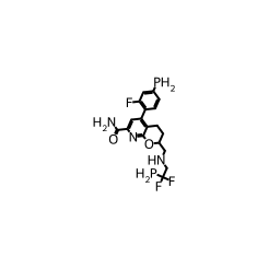 NC(=O)c1cc(-c2ccc(P)cc2F)c2c(n1)OC(CNCC(F)(F)P)CC2